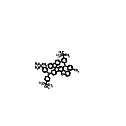 Cc1ccc(N(c2ccc(C(C)(C)C)cc2)c2cc3c(c4oc5ccccc5c24)-c2ccc(N(c4ccc(C(C)(C)C)cc4)c4ccc([Si](C)(C)C)cc4)cc2C32c3ccccc3-c3ccccc32)cc1